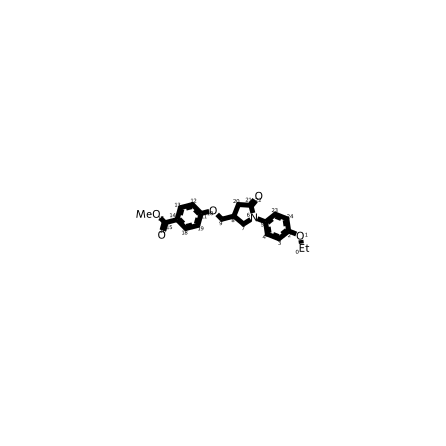 CCOc1ccc(N2CC(COc3ccc(C(=O)OC)cc3)CC2=O)cc1